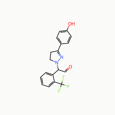 O=CC(c1ccccc1C(F)(F)F)N1CCC(c2ccc(O)cc2)=N1